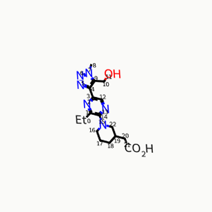 CCc1nc(-c2nnn(C)c2CO)cnc1N1CCCC(CC(=O)O)C1